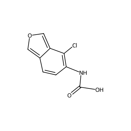 O=C(O)Nc1ccc2cocc2c1Cl